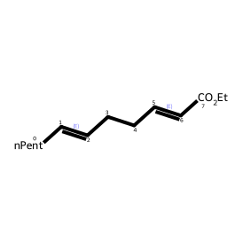 CCCCC/C=C/CC/C=C/C(=O)OCC